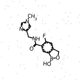 Cn1cnc(CNC(=O)c2cc3c(cc2F)COB3O)c1